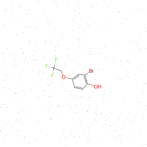 Oc1ccc(OCC(F)(F)F)cc1Br